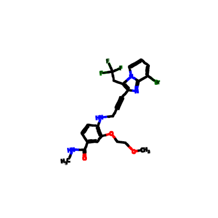 CNC(=O)c1ccc(NCC#Cc2nc3c(Br)cccn3c2CC(F)(F)F)c(OCCOC)c1